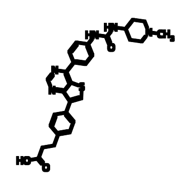 CN1CCC(NC(=O)Nc2ccc(-c3ncnc4c(-c5ccc(CCC(=O)O)cc5)csc34)cc2)CC1